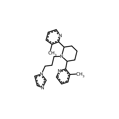 Cc1cccnc1C1CCCC(c2ncccc2C)N1CCCn1ccnc1